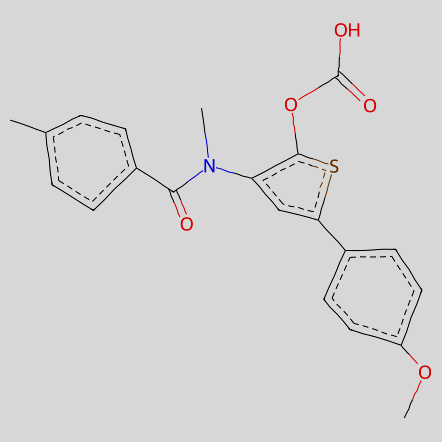 COc1ccc(-c2cc(N(C)C(=O)c3ccc(C)cc3)c(OC(=O)O)s2)cc1